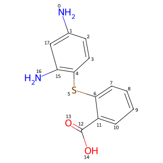 Nc1ccc(Sc2ccccc2C(=O)O)c(N)c1